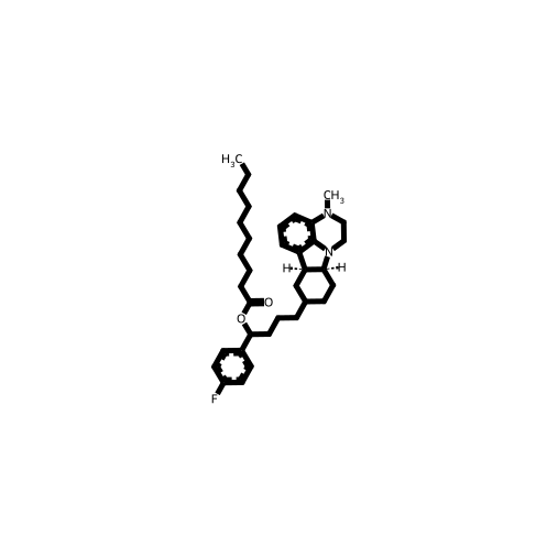 CCCCCCCCCC(=O)OC(CCCC1CC[C@H]2[C@@H](C1)c1cccc3c1N2CCN3C)c1ccc(F)cc1